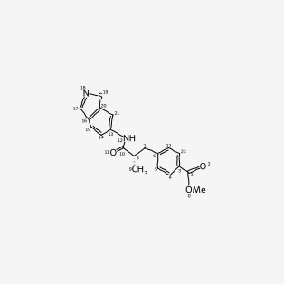 COC(=O)c1ccc(C[C@H](C)C(=O)Nc2ccc3cnsc3c2)cc1